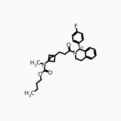 CCCCOC(=O)N(C)C12CC(CCC(=O)N3CCc4ccccc4[C@@H]3c3ccc(F)cc3)(C1)C2